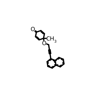 CC1(OCC#Cc2cccc3ccccc23)C=CC(=O)C=C1